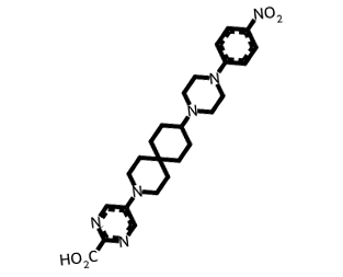 O=C(O)c1ncc(N2CCC3(CCC(N4CCN(c5ccc([N+](=O)[O-])cc5)CC4)CC3)CC2)cn1